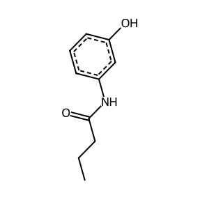 CCCC(=O)Nc1cccc(O)c1